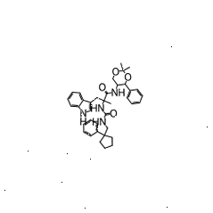 CC1(C)OCC(NC(=O)C(C)(Cc2c[nH]c3ccccc23)NC(=O)NCC2(c3ccccc3)CCCC2)C(c2ccccc2)O1